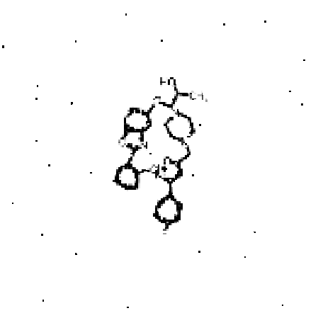 CC(O)C(Oc1ccc2oc(-c3ccccc3Cl)nc2c1)N1CCN(Cc2cc(-c3ccc(F)cc3)no2)CC1